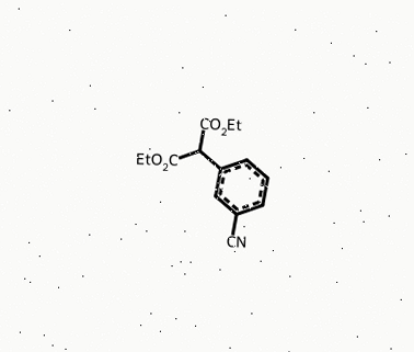 CCOC(=O)C(C(=O)OCC)c1cccc(C#N)c1